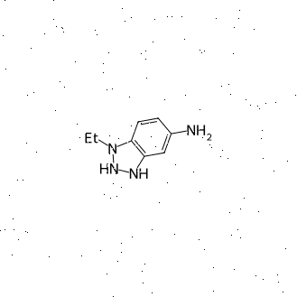 CCN1NNc2cc(N)ccc21